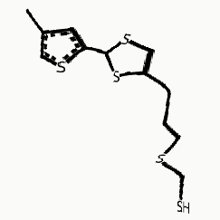 Cc1csc(C2SCC(CCCSCS)S2)c1